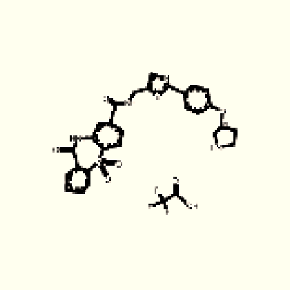 O=C(NCc1cnc(-c2ccc(O[C@H]3CCNC3)cc2)s1)c1ccc2c(c1)NC(=O)c1ccccc1S2(=O)=O.O=C(O)C(F)(F)F